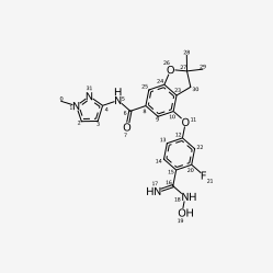 Cn1ccc(NC(=O)c2cc(Oc3ccc(C(=N)NO)c(F)c3)c3c(c2)OC(C)(C)C3)n1